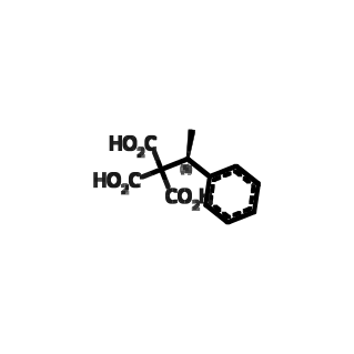 C[C@@H](c1ccccc1)C(C(=O)O)(C(=O)O)C(=O)O